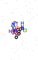 CC(C)N1CCC(CN(C[C@](N)(C(=O)c2ccc3c(Cl)c[nH]c3c2)c2ccccc2)C(=O)OCC2c3ccccc3-c3ccccc32)CC1